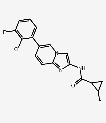 O=C(Nc1cn2cc(-c3cccc(F)c3Cl)ccc2n1)C1CC1F